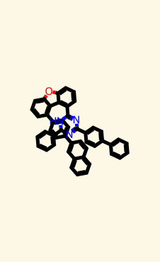 c1ccc(-c2ccc(C3=NC(c4ccccc4)NC(c4cccc5oc6cccc(-c7ccc(-c8ccc9ccccc9c8)cc7)c6c45)=N3)cc2)cc1